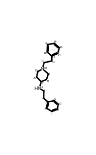 c1ccc(CCNC2CCN(CCc3ccccc3)CC2)cc1